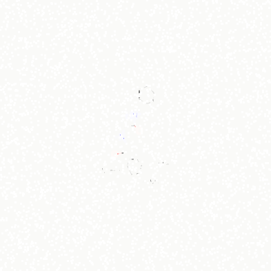 COc1cc(OC)c(C(=O)CN2CCC[C@H]2C(=O)NCc2ccccc2)cc1OC